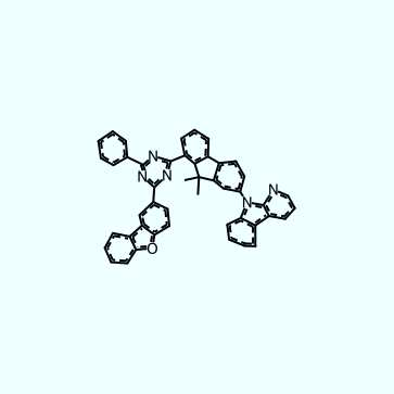 CC1(C)c2cc(-n3c4ccccc4c4cccnc43)ccc2-c2cccc(-c3nc(-c4ccccc4)nc(-c4ccc5oc6ccccc6c5c4)n3)c21